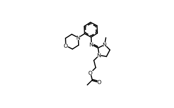 CC(=O)OCCN1CCN(C)C1=Nc1ccccc1N1CCOCC1